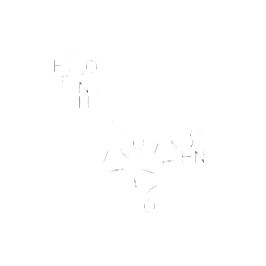 CNC(=O)c1ccc(C(OCCCCCCNC(=O)C(F)(F)F)(c2ccccc2)c2ccc(OC)cc2)cc1